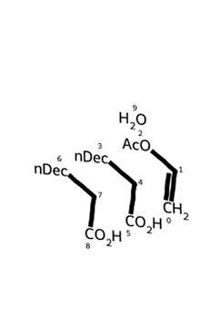 C=COC(C)=O.CCCCCCCCCCCC(=O)O.CCCCCCCCCCCC(=O)O.O